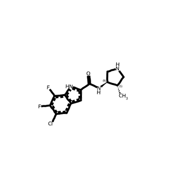 C[C@H]1CNC[C@@H]1NC(=O)c1cc2cc(Cl)c(F)c(F)c2[nH]1